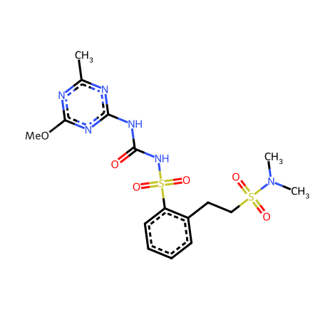 COc1nc(C)nc(NC(=O)NS(=O)(=O)c2ccccc2CCS(=O)(=O)N(C)C)n1